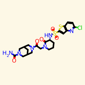 NC(=O)N1CC2CC(C1)CN(C(=O)CN1CCC[C@H](NS(=O)(=O)c3cc4nc(Cl)ccc4s3)C1=O)C2